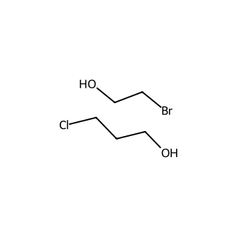 OCCBr.OCCCCl